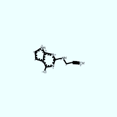 C#CCNc1nc(Cl)c2cc[nH]c2n1